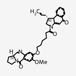 C=CC[C@H]1CN(C(=O)CCCCCOc2cc3c(cc2OC)C(=O)N2CCC[C@H]2C=N3)C2=CC(=O)c3ccccc3C21